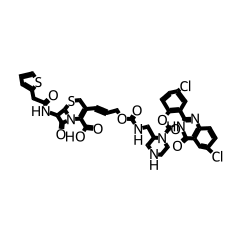 O=C(Cc1cccs1)NC1C(=O)N2C(C(=O)O)=C(C#CCOC(=O)NCC3CNCCN3C(=O)Oc3ccc(Cl)cc3-c3nc4ccc(Cl)cc4c(=O)[nH]3)CSC12